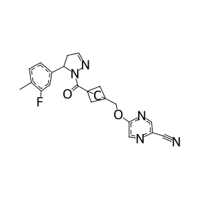 Cc1ccc(C2CC=NN2C(=O)C23CC(COc4cnc(C#N)cn4)(C2)C3)cc1F